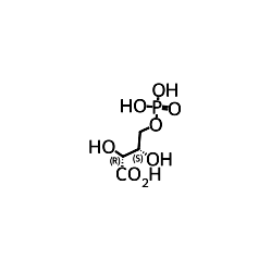 O=C(O)[C@H](O)[C@@H](O)COP(=O)(O)O